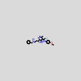 CCOc1ccc(N/C(C)=C2\C(=N)C(CCCNCc3ccccc3)=NN=C2C)c(F)c1